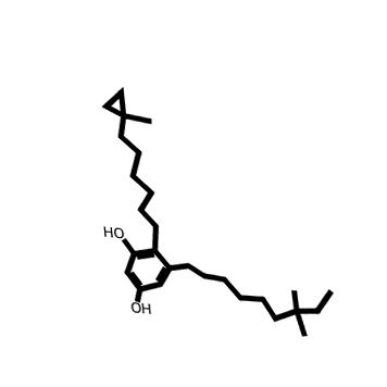 CCC(C)(C)CCCCCCc1cc(O)cc(O)c1CCCCCCC1(C)CC1